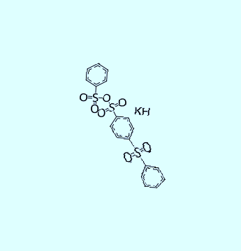 O=S(=O)(OS(=O)(=O)c1ccc(S(=O)(=O)c2ccccc2)cc1)c1ccccc1.[KH]